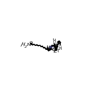 CCOc1cc(-c2ccc[nH]2)[nH]c1/C=C1\C=CC(CCCCCCCCCCCC(N)=O)=N1